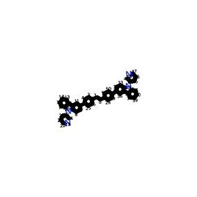 C(=C\c1ccc(-c2ccc3c(c2)c2ccccc2n3-c2cccnc2)cc1)/c1ccc(-c2ccc3c(c2)c2ccccc2n3-c2cccnc2)cc1